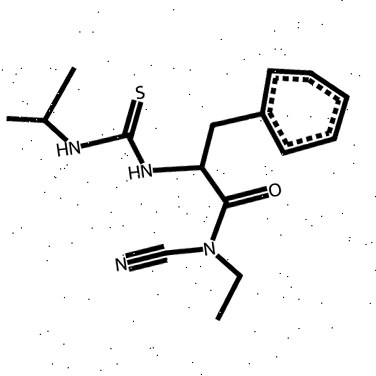 CCN(C#N)C(=O)C(Cc1ccccc1)NC(=S)NC(C)C